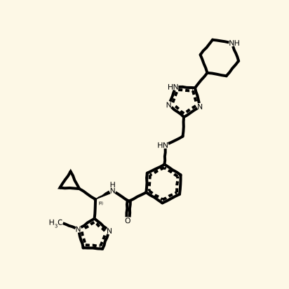 Cn1ccnc1[C@H](NC(=O)c1cccc(NCc2n[nH]c(C3CCNCC3)n2)c1)C1CC1